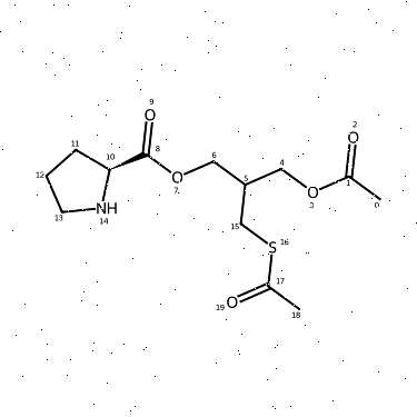 CC(=O)OCC(COC(=O)[C@@H]1CCCN1)CSC(C)=O